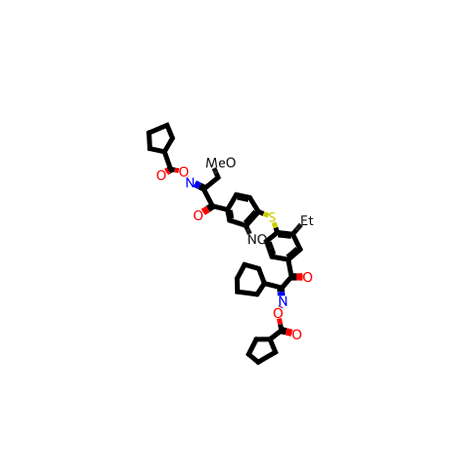 CCc1cc(C(=O)/C(=N/OC(=O)C2CCCC2)C2CCCCC2)ccc1Sc1ccc(C(=O)/C(COC)=N/OC(=O)C2CCCC2)cc1[N+](=O)[O-]